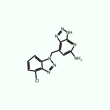 Nc1cc(Cn2nnc3c(Cl)cccc32)c2nn[nH]c2n1